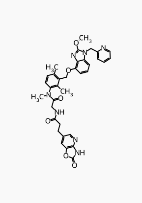 COc1nc2c(OCc3c(C)ccc(N(C)C(=O)CNC(=O)CCc4cnc5[nH]c(=O)oc5c4)c3C)cccc2n1Cc1ccccn1